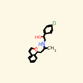 CC(CC1OCCc2ccccc21)NCC(O)c1ccc(Cl)cc1